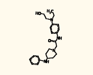 CCN(CCO)c1ccc(NC(=O)CN2CCC(Nc3ccccc3)CC2)cc1